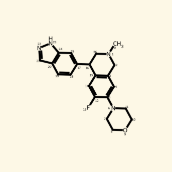 CN1Cc2cc(N3CCOCC3)c(F)cc2C(c2ccc3cn[nH]c3c2)C1